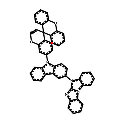 c1ccc2c(c1)Oc1ccccc1C21c2ccccc2Oc2cc(-n3c4ccccc4c4cc(-n5c6ccccc6n6c7ccccc7nc56)ccc43)ccc21